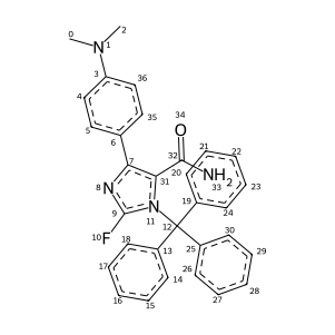 CN(C)c1ccc(-c2nc(F)n(C(c3ccccc3)(c3ccccc3)c3ccccc3)c2C(N)=O)cc1